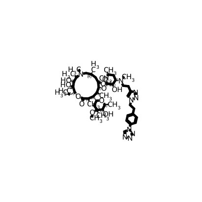 CC[C@H]1OC(=O)[C@H](C)[C@@H](C2C[C@@](C)(OC)[C@@H](O)[C@H](C)O2)[C@H](C)[C@@H](O[C@@H]2O[C@H](C)C[C@H](N(C)CCc3cn(CCc4ccc(-n5cnnn5)cc4)nn3)[C@H]2O)[C@](C)(O)C[C@@H](C)CN(C)[C@H](C)[C@@H](O)[C@]1(C)O